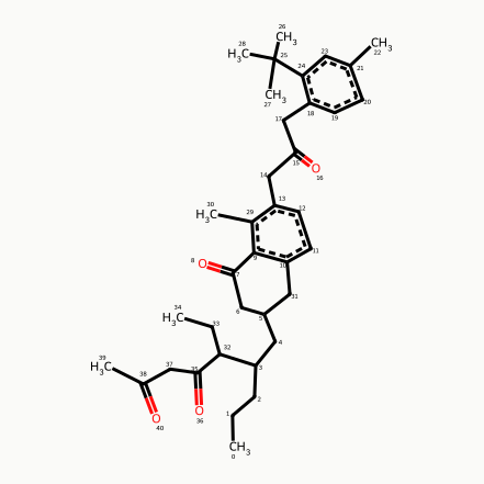 CCCC(CC1CC(=O)c2c(ccc(CC(=O)Cc3ccc(C)cc3C(C)(C)C)c2C)C1)C(CC)C(=O)CC(C)=O